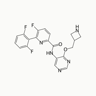 O=C(Nc1cncnc1OCC1CNC1)c1ccc(F)c(-c2c(F)cccc2F)n1